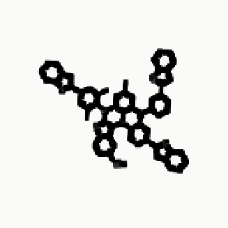 Cc1cc2c3c(c1)N(c1c(C)cc(-c4cc5ccccc5o4)cc1C)c1sc4ccc(C(C)(C)C)cc4c1B3c1ccc(-c3cc4ccccc4o3)cc1N2c1cccc(-c2cc3ccccc3o2)c1